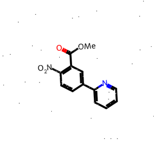 COC(=O)c1cc(-c2ccccn2)ccc1[N+](=O)[O-]